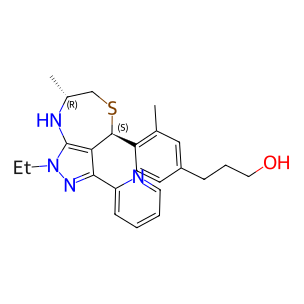 CCn1nc(-c2ccccn2)c2c1N[C@H](C)CS[C@H]2c1ccc(CCCO)cc1C